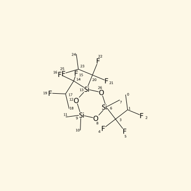 CC(F)C(F)(F)[Si]1(C)O[Si](C)(C)O[Si](C(F)(F)C(C)F)(C(F)(F)C(C)F)O1